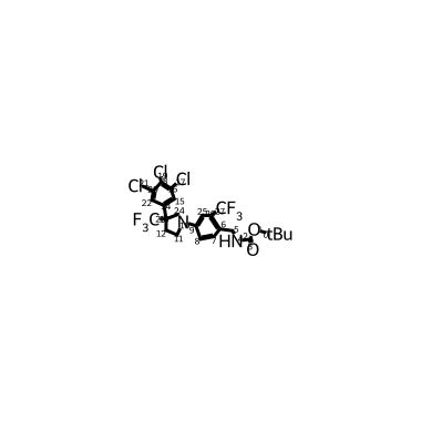 CC(C)(C)OC(=O)NCc1ccc(N2CCC(c3cc(Cl)c(Cl)c(Cl)c3)(C(F)(F)F)C2)cc1C(F)(F)F